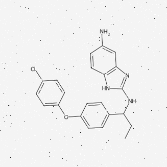 CCC(Nc1nc2cc(N)ccc2[nH]1)c1ccc(Oc2ccc(Cl)cc2)cc1